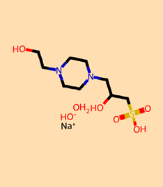 O.O=S(=O)(O)CC(O)CN1CCN(CCO)CC1.[Na+].[OH-]